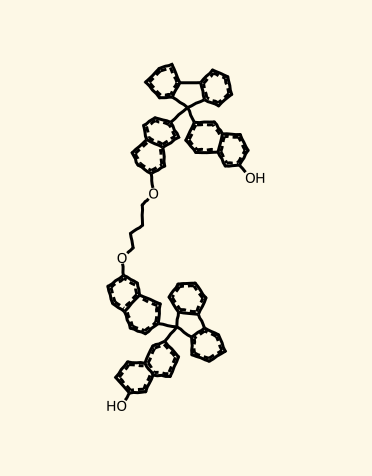 Oc1ccc2cc(C3(c4ccc5ccc(OCCCCOc6ccc7ccc(C8(c9ccc%10cc(O)ccc%10c9)c9ccccc9-c9ccccc98)cc7c6)cc5c4)c4ccccc4-c4ccccc43)ccc2c1